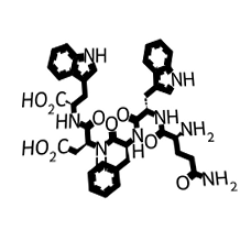 NC(=O)CC[C@H](N)C(=O)N[C@@H](Cc1c[nH]c2ccccc12)C(=O)N[C@@H](Cc1ccccc1)C(=O)N[C@@H](CC(=O)O)C(=O)N[C@@H](Cc1c[nH]c2ccccc12)C(=O)O